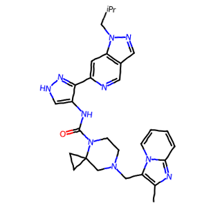 Cc1nc2ccccn2c1CN1CCN(C(=O)Nc2c[nH]nc2-c2cc3c(cn2)cnn3CC(C)C)C2(CC2)C1